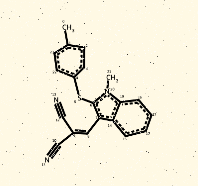 Cc1ccc(Sc2c(C=C(C#N)C#N)c3ccccc3n2C)cc1